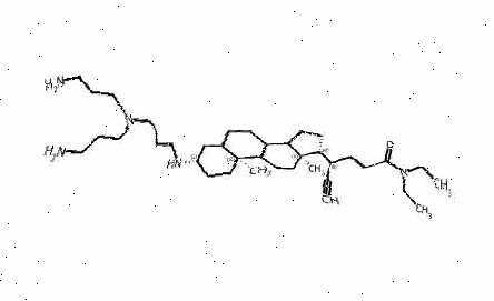 C#C[C@H](CCC(=O)N(CC)CC)[C@H]1CCC2C3CCC4C[C@@H](NCCCN(CCCN)CCCN)CC[C@]4(C)C3CC[C@@]21C